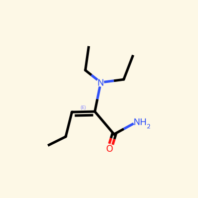 CC/C=C(\C(N)=O)N(CC)CC